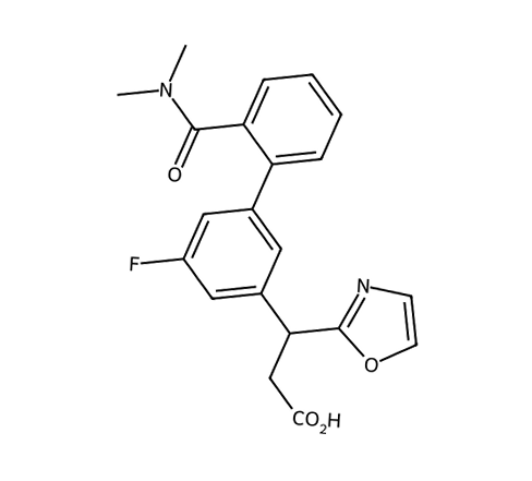 CN(C)C(=O)c1ccccc1-c1cc(F)cc(C(CC(=O)O)c2ncco2)c1